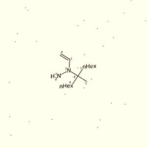 C=CN(N)C(C)(CCCCCC)CCCCCC